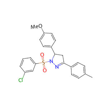 COc1ccc(C2CC(c3ccc(C)cc3)=NN2S(=O)(=O)c2cccc(Cl)c2)cc1